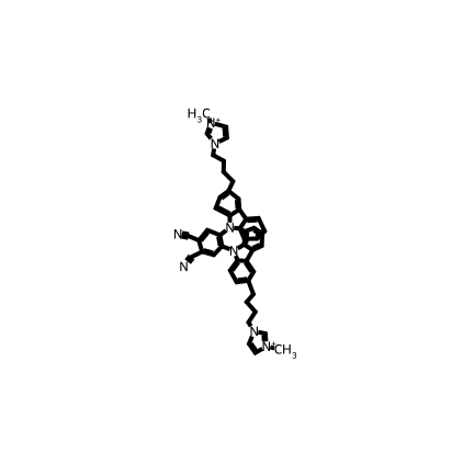 C[n+]1ccn(CCCCc2ccc3c(c2)c2ccccc2n3-c2cc(C#N)c(C#N)cc2-n2c3ccccc3c3cc(CCCCn4cc[n+](C)c4)ccc32)c1